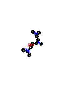 c1ccc(-c2cc(-c3ccccc3)nc(-c3ccc4c(c3)oc3ccc(-c5ccc6c(c5)c5cc(-c7ccc8c(c7)c7ccccc7n8-c7ccccc7)ccc5n6-c5ccccc5)cc34)n2)cc1